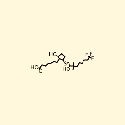 CC(C)(CCCCCC(F)(F)F)C(O)CSC1CCC(O)C1CCCCCCC(=O)O